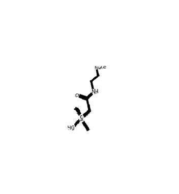 CNCCNC(=O)C[Si](C)(C)O